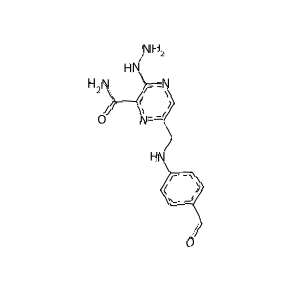 NNc1ncc(CNc2ccc(C=O)cc2)nc1C(N)=O